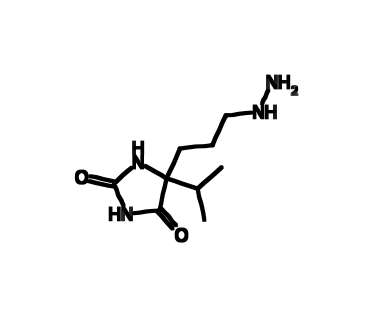 CC(C)C1(CCCNN)NC(=O)NC1=O